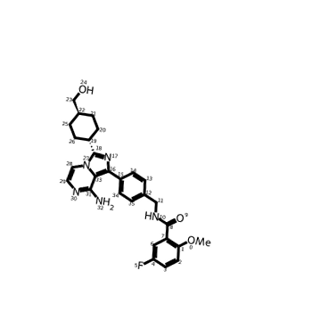 COc1ccc(F)cc1C(=O)NCc1ccc(-c2nc([C@H]3CC[C@H](CO)CC3)n3ccnc(N)c23)cc1